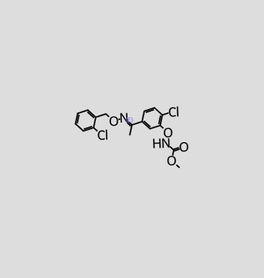 COC(=O)NOc1cc(/C(C)=N/OCc2ccccc2Cl)ccc1Cl